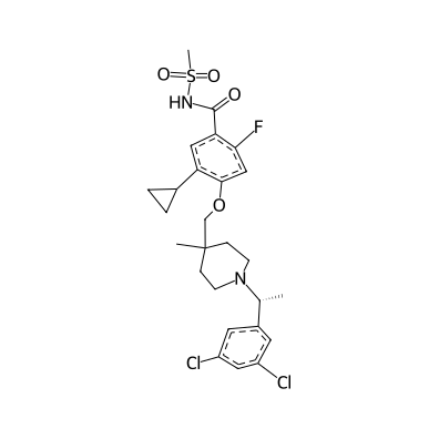 C[C@H](c1cc(Cl)cc(Cl)c1)N1CCC(C)(COc2cc(F)c(C(=O)NS(C)(=O)=O)cc2C2CC2)CC1